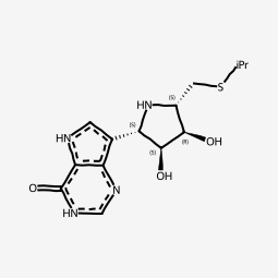 CC(C)SC[C@H]1N[C@@H](c2c[nH]c3c(=O)[nH]cnc23)[C@H](O)[C@@H]1O